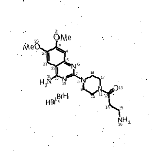 Br.Br.COc1cc2nc(N3CCN(C(=O)CCN)CC3)nc(N)c2cc1OC